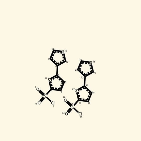 O=S(=O)(Cl)c1ccc(-c2ccsc2)s1.O=S(=O)(Cl)c1ccc(-c2ccsc2)s1